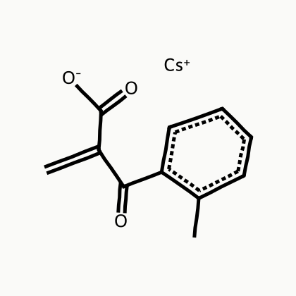 C=C(C(=O)[O-])C(=O)c1ccccc1C.[Cs+]